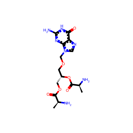 C[C@H](N)C(=O)OC[C@H](COCn1cnc2c(=O)[nH]c(N)nc21)OC(=O)[C@H](C)N